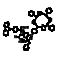 CCCCCC(CC)(Oc1cc(Oc2ccc(-c3c4nc(c(-c5ccccc5)c5ccc([nH]5)c(-c5ccccc5)c5nc(c(-c6ccccc6)c6ccc3[nH]6)C=C5)C=C4)cc2)c(C(CC)(CCCCC)Oc2ccccc2)cc1CC(CC)CCCC)c1ccc(-n2c3ccccc3c3ccccc32)cc1